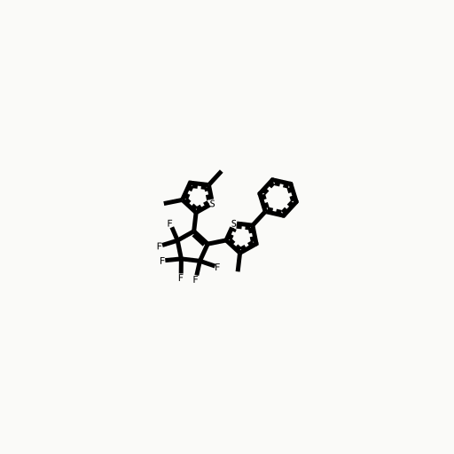 Cc1cc(C)c(C2=C(c3sc(-c4ccccc4)cc3C)C(F)(F)C(F)(F)C2(F)F)s1